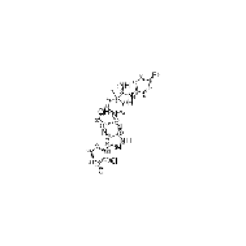 CC1(C(=N)Nc2ccc(F)cc2)CCN(c2nc3[nH]nc(-c4cccc(Cl)c4Cl)c3nc2CO)CC1